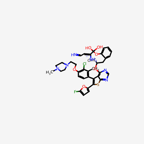 Cc1c(-c2c(-c3ccc(F)o3)sc3ncnc(OC(C=O)Cc4ccccc4OC(O)(O)/C(N)=C/C=N)c23)ccc(OCCN2CCN(C)CC2)c1Cl